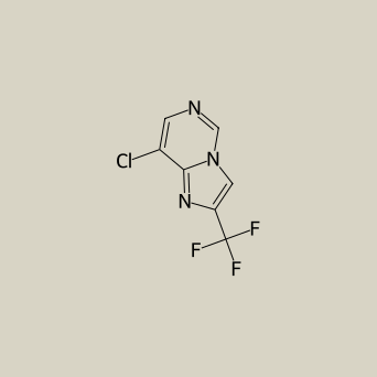 FC(F)(F)c1cn2cncc(Cl)c2n1